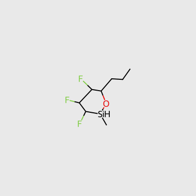 CCCC1O[SiH](C)C(F)C(F)C1F